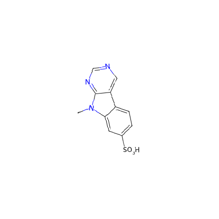 Cn1c2cc(S(=O)(=O)O)ccc2c2cncnc21